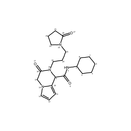 O=C(NC1CCCCC1)C1c2cccn2CC(=O)N1CCCN1CCCC1=O